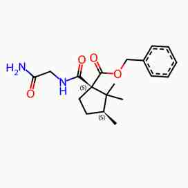 C[C@H]1CC[C@](C(=O)NCC(N)=O)(C(=O)OCc2ccccc2)C1(C)C